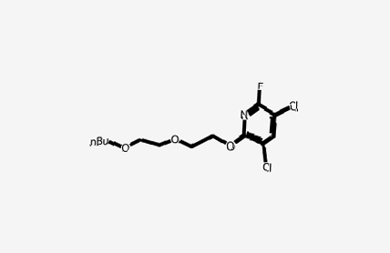 CCCCOCCOCCOc1nc(F)c(Cl)cc1Cl